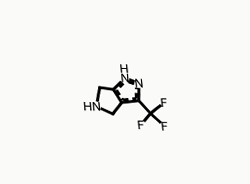 FC(F)(F)c1n[nH]c2c1CNC2